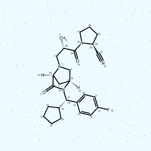 C[C@@H](CN1C[C@@H]2C[C@H]1C(=O)N2[C@H](c1ccc(F)cc1)C1CCCC1)C(=O)N1CCC[C@H]1C#N